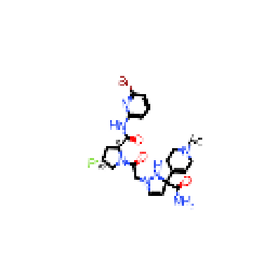 CC(=O)N1CC=C(C2(C(N)=O)C=CN(CC(=O)N3C[C@H](F)C[C@H]3C(=O)Nc3cccc(Br)n3)N2)CC1